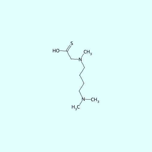 CN(C)CCCCN(C)CC(O)=S